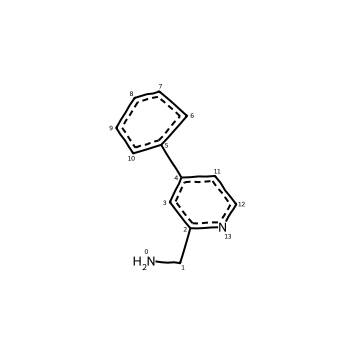 NCc1cc(-c2ccccc2)ccn1